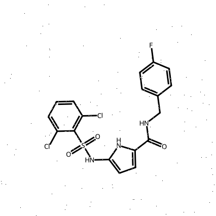 O=C(NCc1ccc(F)cc1)c1ccc(NS(=O)(=O)c2c(Cl)cccc2Cl)[nH]1